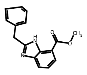 COC(=O)c1cccc2nc(Cc3ccccc3)[nH]c12